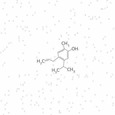 C=CCc1cc(C)c(O)cc1C(C)C